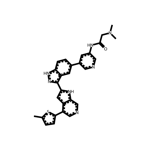 Cc1ccc(-c2cncc3[nH]c(-c4n[nH]c5ccc(-c6cncc(NC(=O)CN(C)C)c6)cc45)cc23)s1